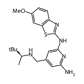 COc1ccc2nc(Nc3cc(CN[C@@H](C)C(C)(C)C)cc(N)n3)sc2c1